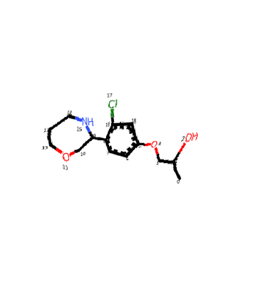 CC(O)COc1ccc(C2COCCCN2)c(Cl)c1